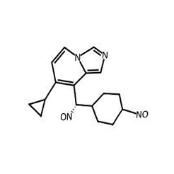 O=NC1CCC([C@H](N=O)c2c(C3CC3)ccn3cncc23)CC1